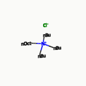 CCCCCCCC[N+](CCCC)(CCCC)CCCC.[Cl-]